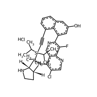 CC(C)[Si](C#Cc1cccc2cc(O)cc(-c3ncc4c(N5C[C@H]6NCC[C@H]65)c(Cl)cnc4c3F)c12)(C(C)C)C(C)C.Cl